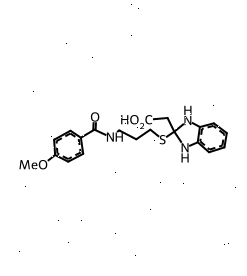 COc1ccc(C(=O)NCCCSC2(CC(=O)O)Nc3ccccc3N2)cc1